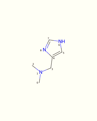 CN(C)Cc1c[nH]cn1